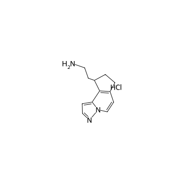 Cl.NCCC1CCc2ccn3nccc3c21